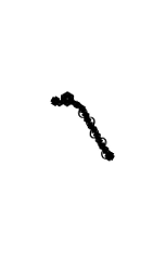 CC(C)(C)Cc1cccc(C#CCOCCOCCOCCOCCOC(C)(C)C)c1